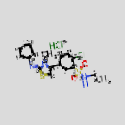 CCNS(=O)(=O)c1cc(-c2cs/c(=N/c3ccccc3)n2C)ccc1Cl.Cl